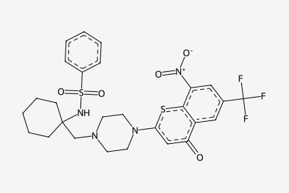 O=c1cc(N2CCN(CC3(NS(=O)(=O)c4ccccc4)CCCCC3)CC2)sc2c([N+](=O)[O-])cc(C(F)(F)F)cc12